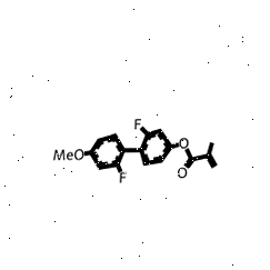 C=C(C)C(=O)Oc1ccc(-c2ccc(OC)cc2F)c(F)c1